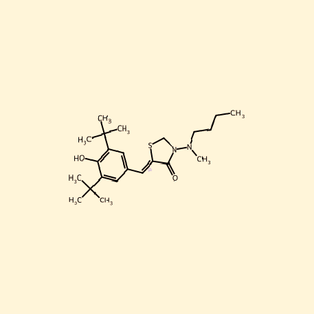 CCCCN(C)N1CS/C(=C\c2cc(C(C)(C)C)c(O)c(C(C)(C)C)c2)C1=O